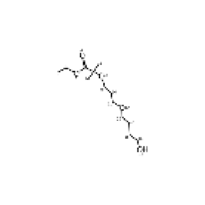 CCOC(=O)C(C)(C)OCCCOCCCCO